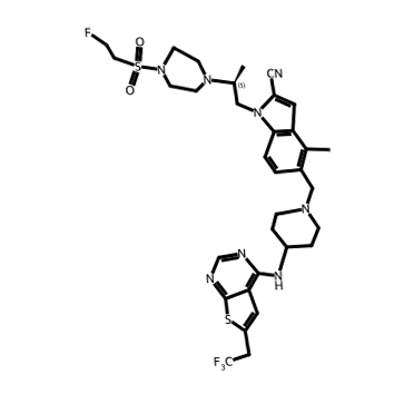 Cc1c(CN2CCC(Nc3ncnc4sc(CC(F)(F)F)cc34)CC2)ccc2c1cc(C#N)n2C[C@H](C)N1CCN(S(=O)(=O)CCF)CC1